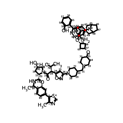 Cc1ncsc1-c1ccc([C@H](C)NC(=O)[C@@H]2C[C@@H](O)CN2C(=O)[C@H](c2cc(N3CCC(CN4CCC(O[C@H]5C[C@H](Oc6cc(N7C8CCC7CN(c7cc(-c9ccccc9O)nnc7N)C8)ccn6)C5)CC4)CC3)no2)C(C)C)cc1